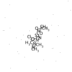 Cc1cc(Cl)cc(-c2ncnc3cc(CN4C(=O)C5C(C4=O)C5(C)C)sc23)c1CN1CCN(C)C[C@@H]1C